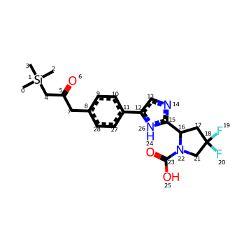 C[Si](C)(C)CC(=O)Cc1ccc(-c2cnc(C3CC(F)(F)CN3C(=O)O)[nH]2)cc1